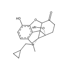 CCCO[C@@]12CCC(=O)C3Oc4c(O)ccc5c4C31[C@]2(N(C)CC1CC1)C5